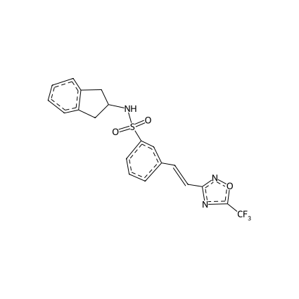 O=S(=O)(NC1Cc2ccccc2C1)c1cccc(C=Cc2noc(C(F)(F)F)n2)c1